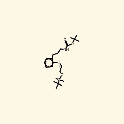 C[C@H](CO[Si](C)(C)C(C)(C)C)Oc1ccccc1CCCNC(=O)OC(C)(C)C